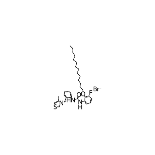 CCCCCCCCCCCCCCOc1c(F)cccc1NC(=O)Nc1ccccc1C[n+]1cscc1C.[Br-]